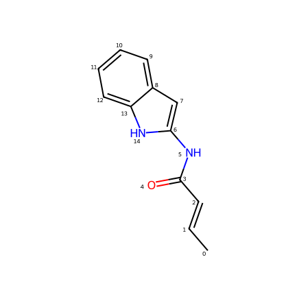 CC=CC(=O)Nc1cc2ccccc2[nH]1